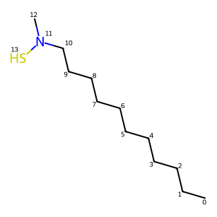 CCCCCCCCCCCN(C)S